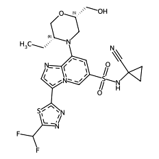 CC[C@@H]1CO[C@H](CO)CN1c1cc(S(=O)(=O)NC2(C#N)CC2)cn2c(-c3nnc(C(F)F)s3)cnc12